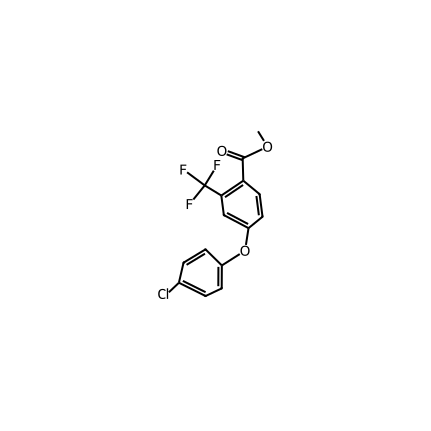 COC(=O)c1ccc(Oc2ccc(Cl)cc2)cc1C(F)(F)F